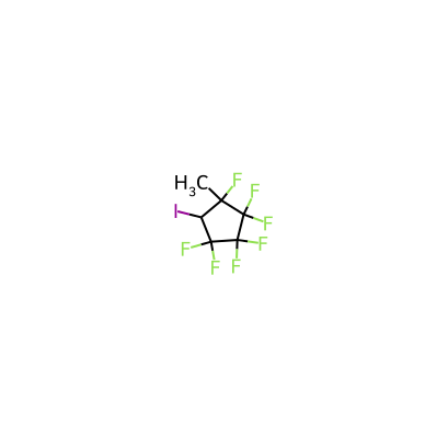 CC1(F)C(I)C(F)(F)C(F)(F)C1(F)F